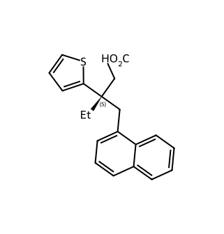 CC[C@@](CC(=O)O)(Cc1cccc2ccccc12)c1cccs1